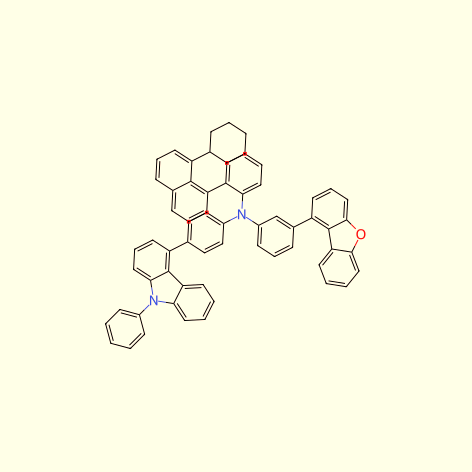 c1ccc(-n2c3ccccc3c3c(-c4ccc(N(c5cccc(-c6cccc7oc8ccccc8c67)c5)c5ccccc5-c5cccc6cccc(C7CCCCC7)c56)cc4)cccc32)cc1